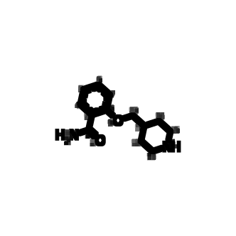 NC(=O)c1ccccc1OCC1CCNCC1